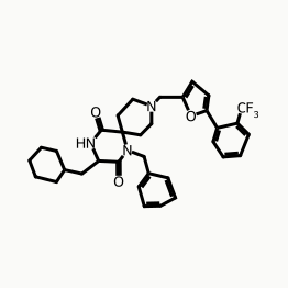 O=C1C(CC2CCCCC2)NC(=O)C2(CCN(Cc3ccc(-c4ccccc4C(F)(F)F)o3)CC2)N1Cc1ccccc1